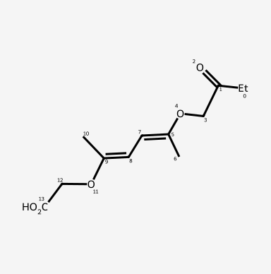 CCC(=O)CO/C(C)=C/C=C(\C)OCC(=O)O